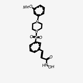 COc1cccc(N2CCN(S(=O)(=O)c3cccc(C=CC(=O)NO)c3)CC2)c1